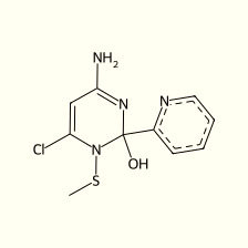 CSN1C(Cl)=CC(N)=NC1(O)c1ccccn1